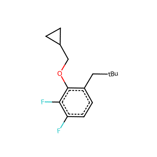 CC(C)(C)Cc1ccc(F)c(F)c1OCC1CC1